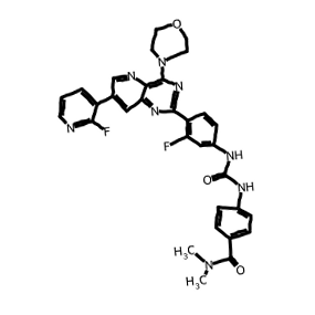 CN(C)C(=O)c1ccc(NC(=O)Nc2ccc(-c3nc(N4CCOCC4)c4ncc(-c5cccnc5F)cc4n3)c(F)c2)cc1